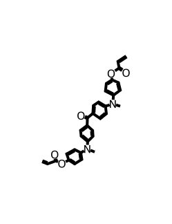 C=CC(=O)Oc1ccc(N(C)c2ccc(C(=O)c3ccc(N(C)c4ccc(OC(=O)C=C)cc4)cc3)cc2)cc1